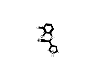 C#CC(Oc1cccc(Cl)c1Cl)C1CCNC1